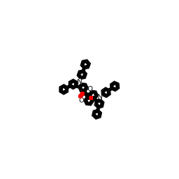 c1ccc(-c2ccc(-n3c4ccc(-c5ccccc5)cc4c4cc5c(cc43)Oc3cc4c(cc3C53c5ccccc5Oc5ccccc53)c3cc(-c5ccccc5)ccc3n4-c3ccc(-c4ccccc4)cc3)cc2)cc1